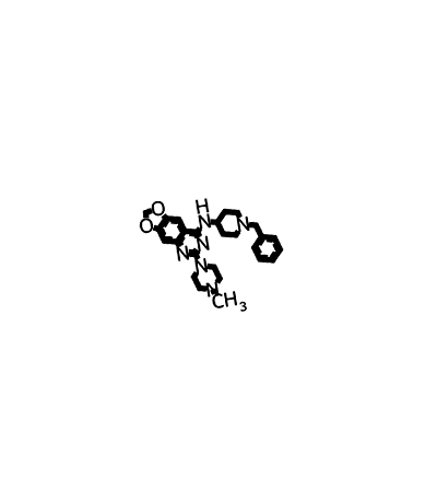 CN1CCN(c2nc(NC3CCN(Cc4ccccc4)CC3)c3cc4c(cc3n2)OCO4)CC1